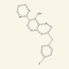 Oc1c(-c2ncccn2)ccc2cc(Cc3ccc(F)cc3)cnc12